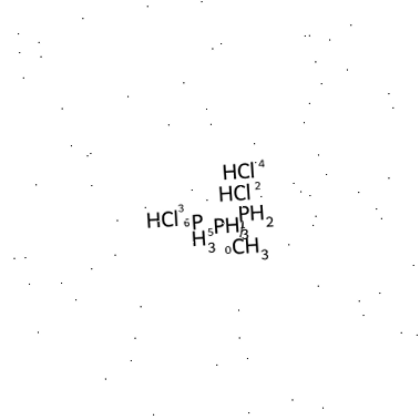 CP.Cl.Cl.Cl.P.P